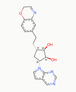 O[C@@H]1[C@@H](CCc2ccc3c(c2)N=CCO3)C[C@@H](n2ccc3cncnc32)[C@@H]1O